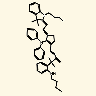 C=C(/C=C/C1=C(N(c2ccccc2)c2ccccc2)C(=C/C=C2/N(CCCC)c3ccccc3C2(C)C)/CC1)C(C)(C)c1ccccc1NCCCC